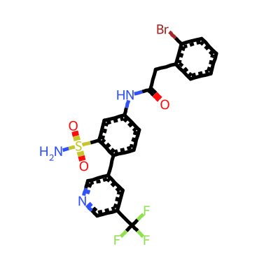 NS(=O)(=O)c1cc(NC(=O)Cc2ccccc2Br)ccc1-c1cncc(C(F)(F)F)c1